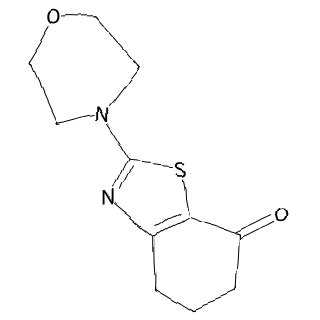 O=C1CCCc2nc(N3CCOCC3)sc21